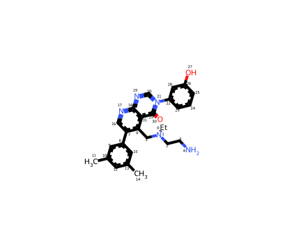 CCN(CCN)Cc1c(-c2cc(C)cc(C)c2)cnc2ncn(-c3cccc(O)c3)c(=O)c12